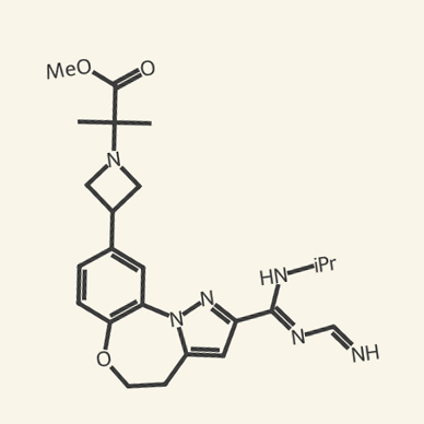 COC(=O)C(C)(C)N1CC(c2ccc3c(c2)-n2nc(/C(=N/C=N)NC(C)C)cc2CCO3)C1